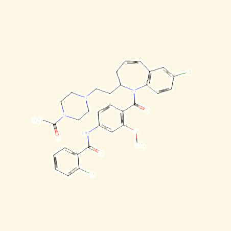 COc1cc(NC(=O)c2ccccc2Cl)ccc1C(=O)N1c2ccc(Cl)cc2C=CCC1CCN1CCN(C(C)=O)CC1